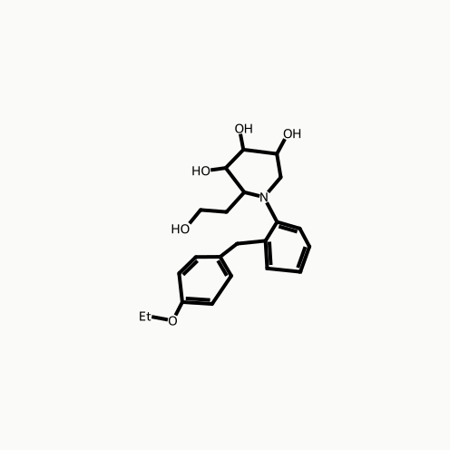 CCOc1ccc(Cc2ccccc2N2CC(O)C(O)C(O)C2CCO)cc1